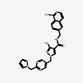 Nc1nccc2cc(CNC(=O)c3cn(Cc4cnc(Cn5cccn5)nc4)nc3C(F)(F)F)ccc12